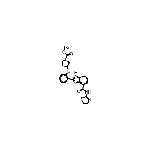 CC(C)(C)OC(=O)N1CCC(Oc2ccccc2-c2nc3c(C(=O)NC4=NCCS4)cccc3[nH]2)C1